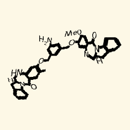 COc1cc2c(cc1OCc1cc(N)cc(COc3cc4c(cc3C)C(=O)N3c5ccccc5C[C@H]3CN4)c1)N=C[C@@H]1Cc3ccccc3N1C2=O